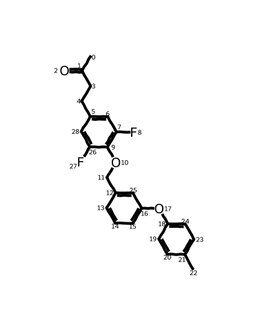 CC(=O)CCc1cc(F)c(OCc2cccc(Oc3ccc(C)cc3)c2)c(F)c1